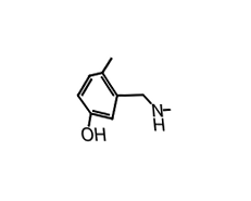 CNCc1cc(O)ccc1C